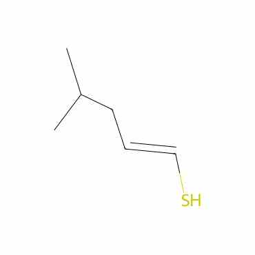 CC(C)CC=CS